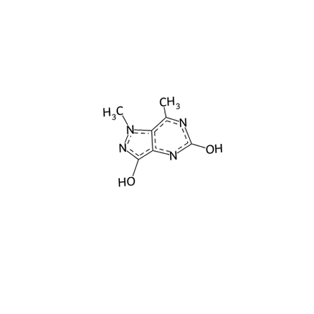 Cc1nc(O)nc2c(O)nn(C)c12